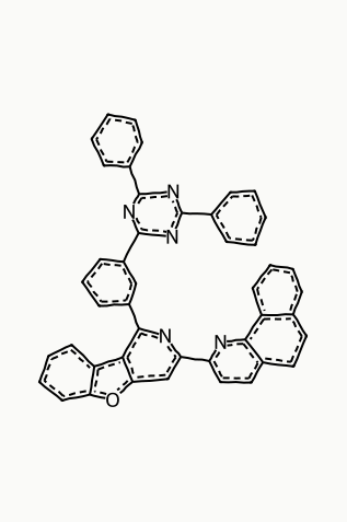 c1ccc(-c2nc(-c3ccccc3)nc(-c3cccc(-c4nc(-c5ccc6ccc7ccccc7c6n5)cc5oc6ccccc6c45)c3)n2)cc1